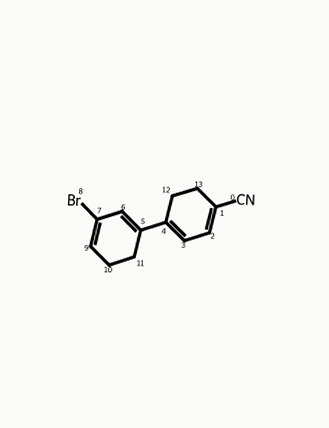 N#CC1=CC=C(C2=CC(Br)=CCC2)CC1